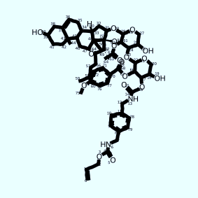 C=CCOC(=O)NCc1ccc(CNC(=O)OC2C(O)COC(OC3C(O)COC(OC4C[C@H]5C6CC=C7CC(O)CCC7(C)C6CCC5(C)[C@@]4(O)[C@H](C)C(=O)CCC(C)C)C3OC(C)=O)C2OC(=O)c2ccc(OC)cc2)cc1